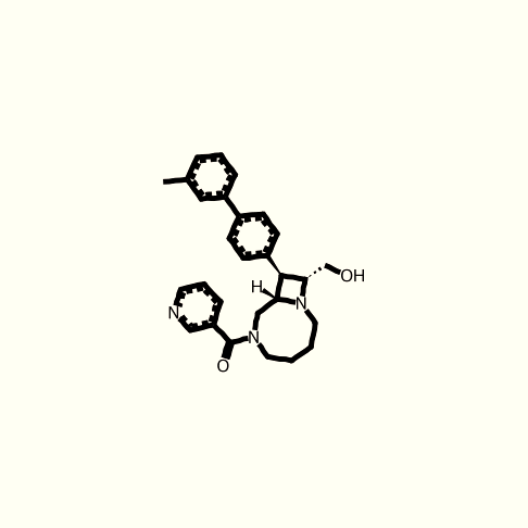 Cc1cccc(-c2ccc([C@@H]3[C@H]4CN(C(=O)c5cccnc5)CCCCN4[C@H]3CO)cc2)c1